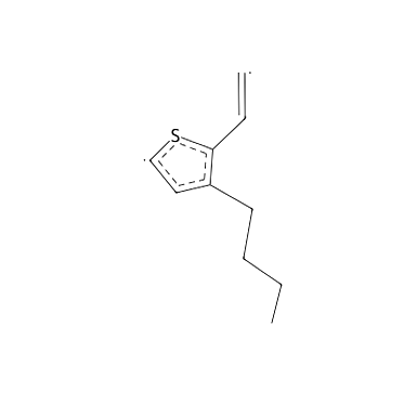 [CH]=Cc1s[c]cc1CCCC